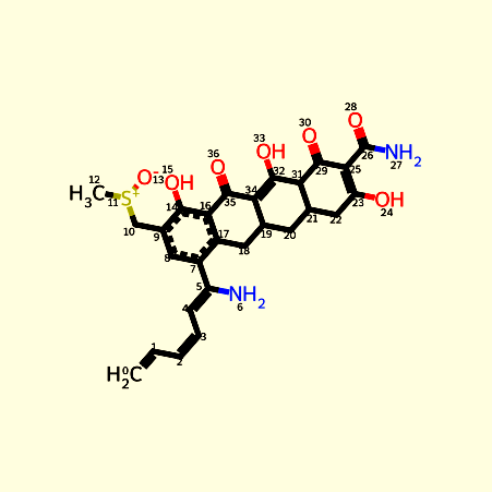 C=C/C=C\C=C(/N)c1cc(C[S+](C)[O-])c(O)c2c1CC1CC3CC(O)=C(C(N)=O)C(=O)C3C(O)=C1C2=O